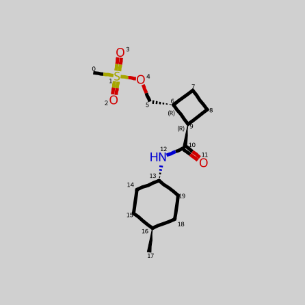 CS(=O)(=O)OC[C@@H]1CC[C@H]1C(=O)N[C@H]1CC[C@H](C)CC1